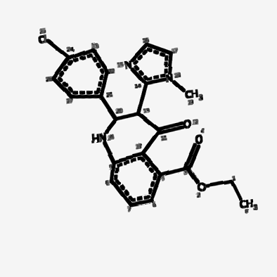 CCOC(=O)c1cccc2c1C(=O)C(c1nccn1C)C(c1ccc(Cl)cc1)N2